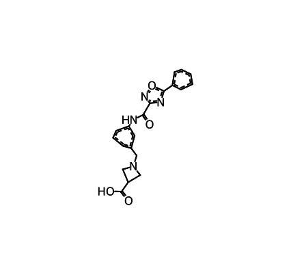 O=C(Nc1cccc(CN2CC(C(=O)O)C2)c1)c1noc(-c2ccccc2)n1